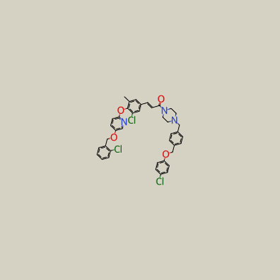 Cc1cc(/C=C/C(=O)N2CCN(Cc3ccc(COc4ccc(Cl)cc4)cc3)CC2)cc(Cl)c1Oc1ccc(OCc2ccccc2Cl)cn1